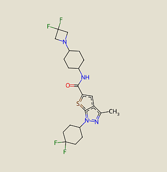 Cc1nn(C2CCC(F)(F)CC2)c2sc(C(=O)NC3CCC(N4CC(F)(F)C4)CC3)cc12